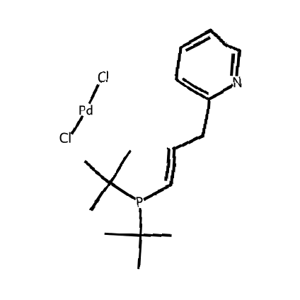 CC(C)(C)P(C=CCc1ccccn1)C(C)(C)C.[Cl][Pd][Cl]